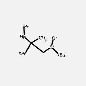 CCCC(C)(C[S+]([O-])C(C)(C)C)NC(C)C